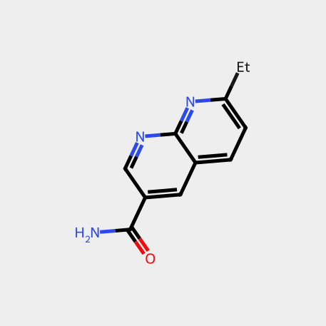 CCc1ccc2cc(C(N)=O)cnc2n1